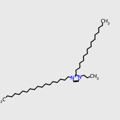 CCCCCCCCCCCCCCCCCC[n+]1ccn(CCC)c1CCCCCCCCCCCCCCC